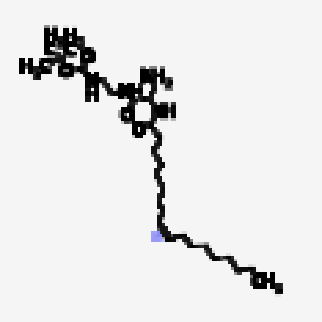 CCCCCCCC/C=C\CCCCCCCC(=O)NC(CN)C(=O)NCCNC(=O)OC(C)(C)C